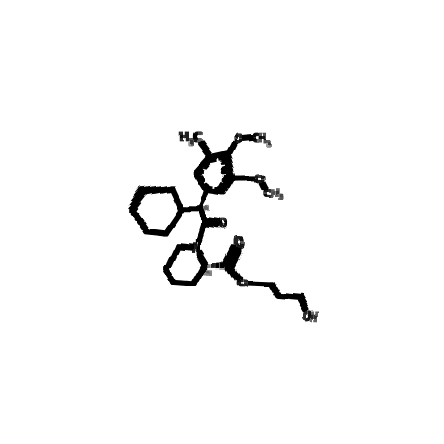 COc1cc([C@@H](C(=O)N2CCCC[C@H]2C(=O)OCCCO)C2CCCCC2)cc(C)c1OC